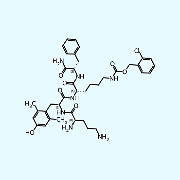 Cc1cc(O)cc(C)c1C[C@H](NC(=O)[C@H](N)CCCN)C(=O)N[C@@H](CCCCNC(=O)OCc1ccccc1Cl)C(=O)N[C@@H](Cc1ccccc1)C(N)=O